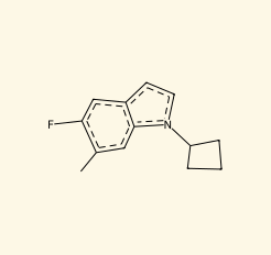 Cc1cc2c(ccn2C2CCC2)cc1F